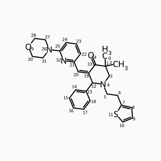 CC1(C)CN(CCc2cccs2)C(c2ccccc2)C(=Cc2cccc(N3CCOCC3)n2)C1=O